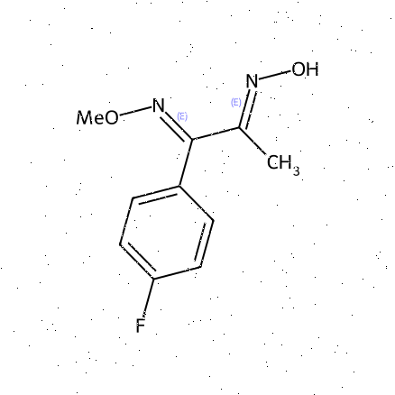 CO/N=C(/C(C)=N/O)c1ccc(F)cc1